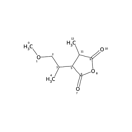 COCC(C)C1C(=O)OC(=O)C1C